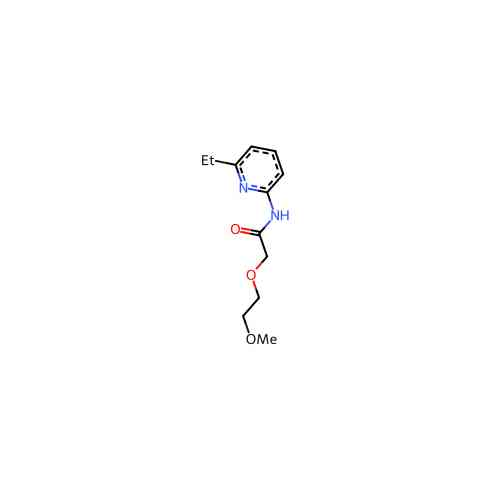 CCc1cccc(NC(=O)COCCOC)n1